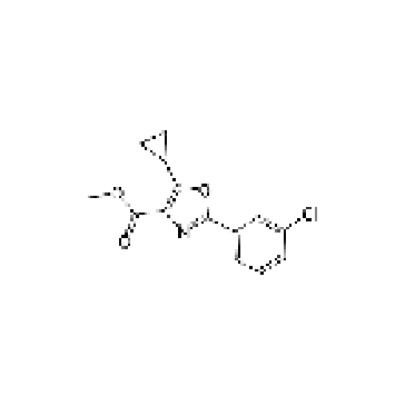 COC(=O)c1nc(-c2cccc(Cl)c2)oc1C1CC1